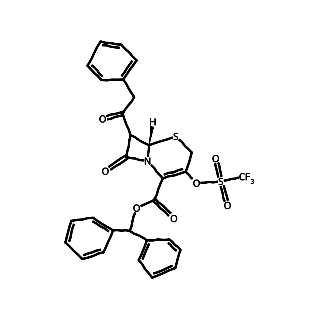 O=C(OC(c1ccccc1)c1ccccc1)C1=C(OS(=O)(=O)C(F)(F)F)CS[C@H]2C(C(=O)Cc3ccccc3)C(=O)N12